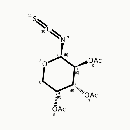 CC(=O)O[C@H]1[C@H](OC(C)=O)[C@H](OC(C)=O)CO[C@H]1N=C=S